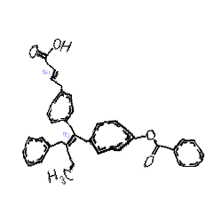 CC/C(=C(/c1ccc(/C=C/C(=O)O)cc1)c1ccc(OC(=O)c2ccccc2)cc1)c1ccccc1